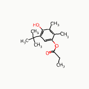 CCC(=O)Oc1cc(C(C)(C)C)c(O)c(C)c1C